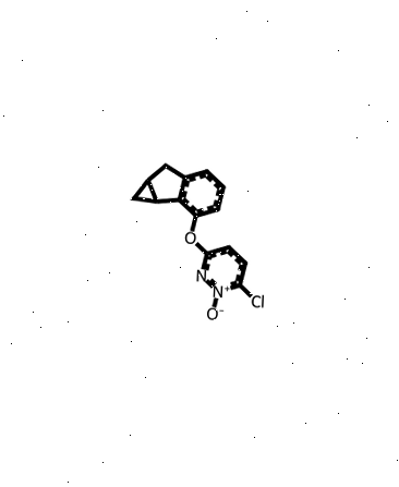 [O-][n+]1nc(Oc2cccc3c2C2CC2C3)ccc1Cl